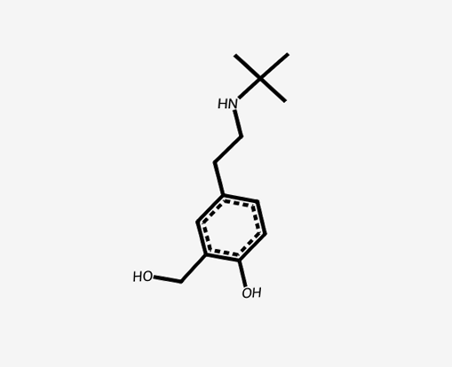 CC(C)(C)NCCc1ccc(O)c(CO)c1